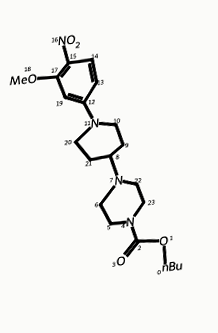 CCCCOC(=O)N1CCN(C2CCN(c3ccc([N+](=O)[O-])c(OC)c3)CC2)CC1